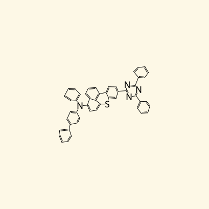 c1ccc(-c2ccc(N(c3ccccc3)c3ccc4c5c(cccc35)-c3ccc(-c5nc(-c6ccccc6)nc(-c6ccccc6)n5)cc3S4)cc2)cc1